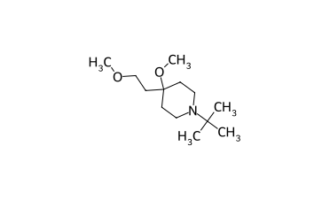 COCCC1(OC)CCN(C(C)(C)C)CC1